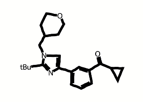 CC(C)(C)c1nc(-c2cccc(C(=O)C3CC3)c2)cn1CC1CCOCC1